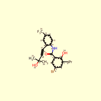 CC(C)c1cc(Br)cc(C(=O)Nc2ccc(C(F)(F)F)cc2C#CC(C)(C)O)c1O